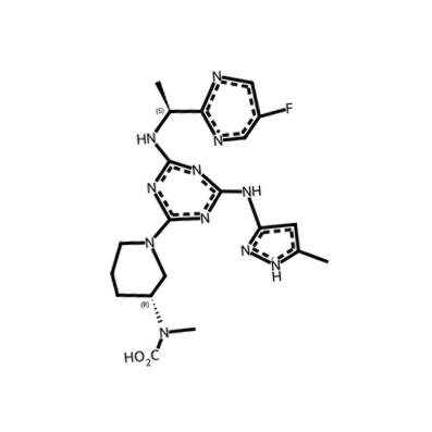 Cc1cc(Nc2nc(N[C@@H](C)c3ncc(F)cn3)nc(N3CCC[C@@H](N(C)C(=O)O)C3)n2)n[nH]1